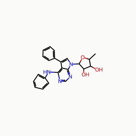 CC1OC(n2cc(-c3ccccc3)c3c(Nc4ccccc4)ncnc32)C(O)C1O